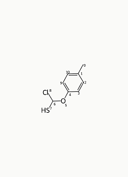 Cc1ccc(OC(S)Cl)cc1